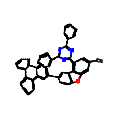 N#Cc1cc(-c2nc(-c3ccccc3)nc(-c3ccccc3)n2)c2c(c1)oc1ccc(-c3ccc4c5ccccc5c5ccccc5c4c3)cc12